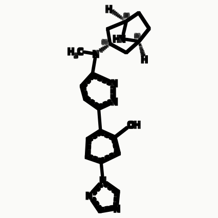 CN(c1ccc(-c2ccc(-n3cncn3)cc2O)nn1)[C@@H]1C[C@H]2CC[C@@H](C1)N2